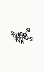 CC(C)(C)OC(=O)N1C2CSCC1CC(c1cc(N(COCC[Si](C)(C)C)COCC[Si](C)(C)C)n3nccc3n1)C2